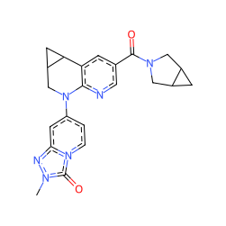 Cn1nc2cc(N3CC4CC4c4cc(C(=O)N5CC6CC6C5)cnc43)ccn2c1=O